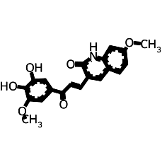 COc1ccc2cc(/C=C/C(=O)c3cc(O)c(O)c(OC)c3)c(=O)[nH]c2c1